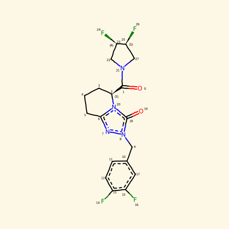 O=C([C@@H]1CCCc2nn(Cc3ccc(F)c(F)c3)c(=O)n21)N1C[C@@H](F)[C@@H](F)C1